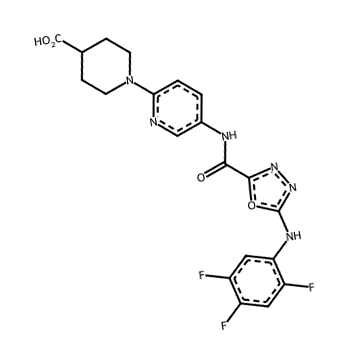 O=C(Nc1ccc(N2CCC(C(=O)O)CC2)nc1)c1nnc(Nc2cc(F)c(F)cc2F)o1